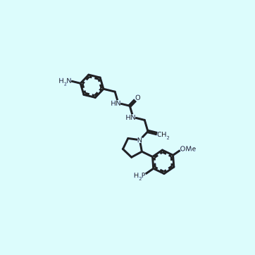 C=C(CNC(=O)NCc1ccc(N)cc1)N1CCCC1c1cc(OC)ccc1P